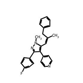 CC(=Cc1c(-c2ccncc2)c(-c2ccc(F)cc2)nn1C)Cc1ccccc1